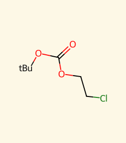 CC(C)(C)OC(=O)OCCCl